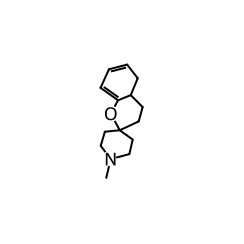 CN1CCC2(CCC3CC=CC=C3O2)CC1